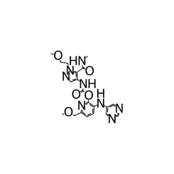 CNC(=O)c1c(NC(=O)Oc2nc(COC)ccc2Nc2cncnc2)cnn1CCOC